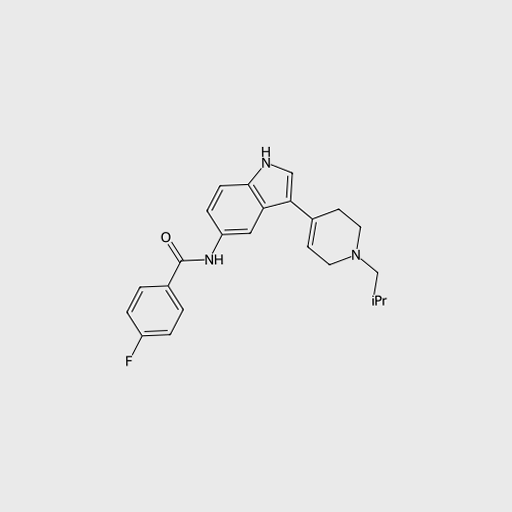 CC(C)CN1CC=C(c2c[nH]c3ccc(NC(=O)c4ccc(F)cc4)cc23)CC1